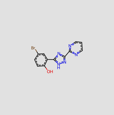 Oc1ccc(Br)cc1-c1nc(-c2ncccn2)n[nH]1